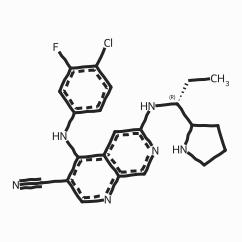 CC[C@@H](Nc1cc2c(Nc3ccc(Cl)c(F)c3)c(C#N)cnc2cn1)C1CCCN1